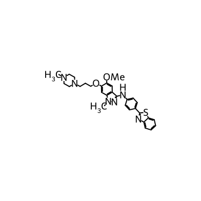 COc1cc2c(Nc3ccc(-c4nc5ccccc5s4)cc3)nn(C)c2cc1OCCCN1CCN(C)CC1